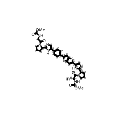 COC(=O)NCC(=O)N1CCCC1c1ncc(-c2ccc(-c3cc4sc(-c5cnc(C6CCCN6C(=O)[C@@H](NC(=O)OC)C(C)C)[nH]5)cc4s3)cc2)[nH]1